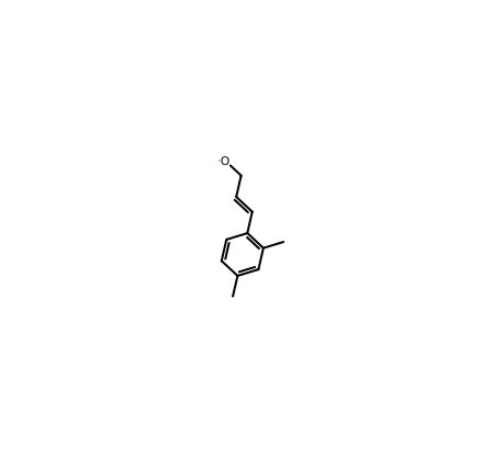 Cc1ccc(/C=C/C[O])c(C)c1